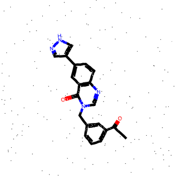 CC(=O)c1cccc(Cn2cnc3ccc(-c4cn[nH]c4)cc3c2=O)c1